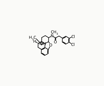 CN(C(=O)Cc1ccc(Cl)c(Cl)c1)C1CC[C@@]2(O)[C@H]3Cc4cccc5c4[C@@]2(CCN3C)C1O5